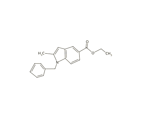 CCOC(=O)c1ccc2c(c1)cc(C)n2Cc1ccccc1